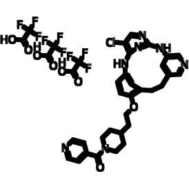 O=C(O)C(F)(F)F.O=C(O)C(F)(F)F.O=C(O)C(F)(F)F.O=C(c1ccncc1)N1CCC(CCOc2ccc3cc2CCc2cncc(c2)Nc2ncc(Cl)c(n2)N3)CC1